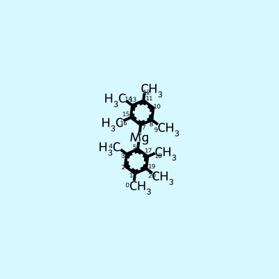 Cc1cc(C)[c]([Mg][c]2c(C)cc(C)c(C)c2C)c(C)c1C